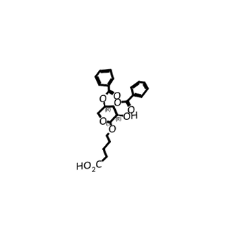 O=C(O)CCCCO[C@H]1OC[C@@H](OC(=O)c2ccccc2)C(OC(=O)c2ccccc2)[C@H]1O